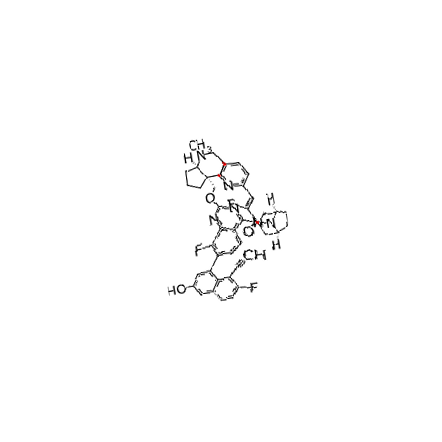 C#Cc1c(F)ccc2cc(O)cc(-c3ccc4c(N5C[C@H]6CC[C@@H](C5)N6C(=O)/C(F)=C/c5ccccn5)nc(OC[C@]56CCC[C@H]5N(C)CCC6)nc4c3F)c12